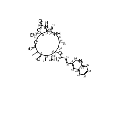 B[C@@H]1[C@@H](C)C(=O)C(C)C(=O)O[C@H](CC)[C@@]2(C)OC(=O)N[C@@H]2[C@@H](C)NC[C@H](C)C[C@@]1(C)OC/C=C/c1cnc2ccccc2c1